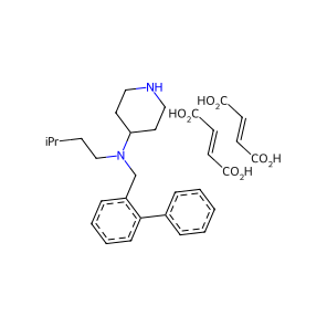 CC(C)CCN(Cc1ccccc1-c1ccccc1)C1CCNCC1.O=C(O)C=CC(=O)O.O=C(O)C=CC(=O)O